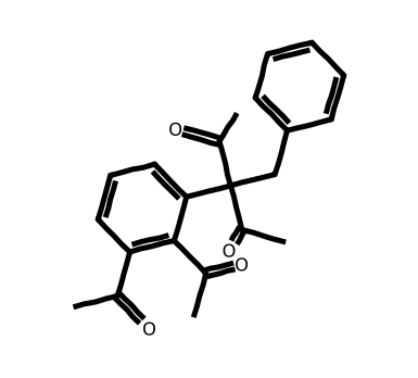 CC(=O)c1cccc(C(Cc2ccccc2)(C(C)=O)C(C)=O)c1C(C)=O